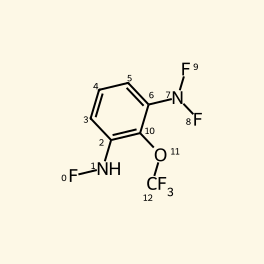 FNc1cccc(N(F)F)c1OC(F)(F)F